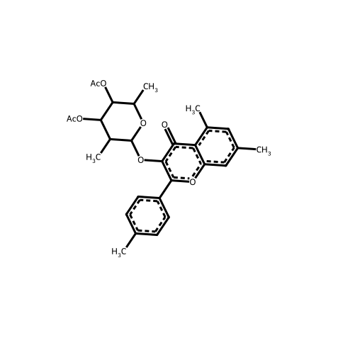 CC(=O)OC1C(C)OC(Oc2c(-c3ccc(C)cc3)oc3cc(C)cc(C)c3c2=O)C(C)C1OC(C)=O